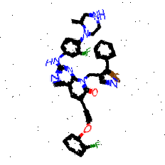 CC1CNCCN1c1ccc(Nc2ncc3cc(C#COc4ccccc4F)c(=O)n(Cc4cnsc4-c4ccccc4)c3n2)cc1F